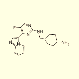 NC1CCC(CNc2ncc(F)c(-c3cnc4ccccn34)n2)CC1